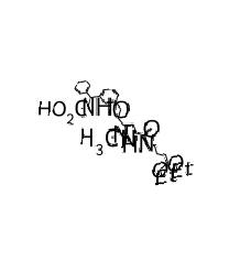 CCOC(CCCNC(=O)c1cc(COc2cccc([C@@H](NC(=O)O)c3ccccc3)c2)n(C)n1)OCC